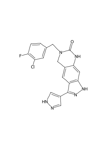 O=C1Nc2cc3[nH]nc(-c4cn[nH]c4)c3cc2CN1Cc1ccc(F)c(Cl)c1